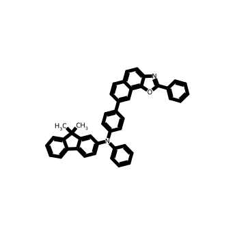 CC1(C)c2ccccc2-c2ccc(N(c3ccccc3)c3ccc(-c4ccc5ccc6nc(-c7ccccc7)oc6c5c4)cc3)cc21